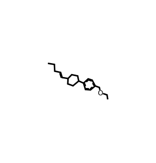 CCCC=CC1CCC(c2ccc(COCC)cc2)CC1